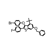 CC(C)(C)c1cc(OCc2ccccc2)cc2sc(-c3ccc(F)cc3)c(Oc3ccc(Br)cc3)c12